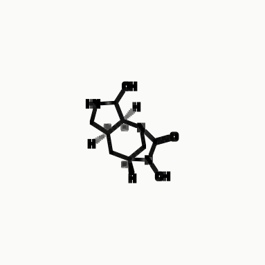 O=C1N(O)[C@@H]2C[C@H]3CNC(O)[C@H]3N1C2